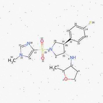 CC1OCCC1N[C@@H]1CN(S(=O)(=O)c2cn(C)cn2)C[C@H]1c1ccc(F)cc1